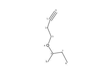 C#CCCOC([CH2])CC